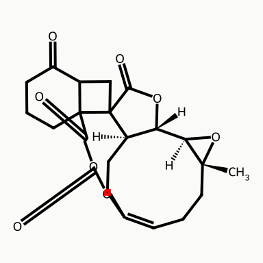 C[C@@]12CC/C=C3\CC[C@@H]4[C@H](OC(=O)C45CC4C(=O)CCCC45C(=O)COC(=O)OC3)[C@H]1O2